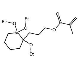 C=C(C)C(=O)OCCCC1(OCC)CCCC[Si]1(OCC)OCC